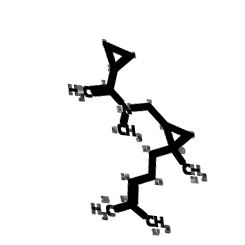 C=C(C1CC1)N(C)CC1CC1(C)CCC=C(C)C